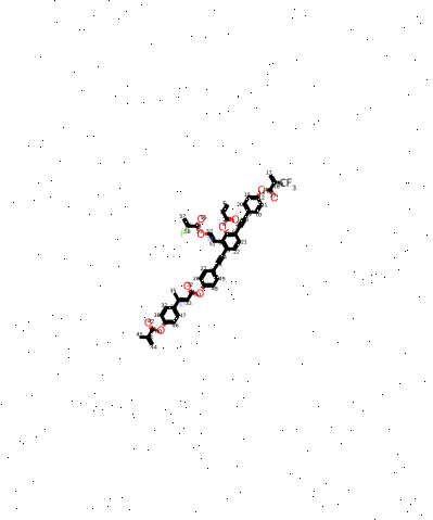 C=CC(=O)Oc1c(C#Cc2ccc(OC(=O)C(=C)C(F)(F)F)cc2)ccc(C#Cc2ccc(OC(=O)/C=C(\C)c3ccc(OC(=O)C(=C)C)cc3)cc2)c1/C=C/OC(=O)C(=C)F